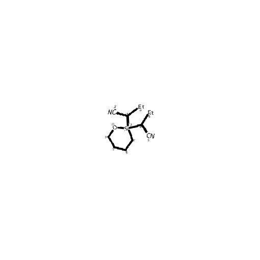 CCC(C#N)[Si]1(C(C#N)CC)CCCCO1